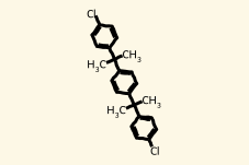 CC(C)(c1ccc(Cl)cc1)c1ccc(C(C)(C)c2ccc(Cl)cc2)cc1